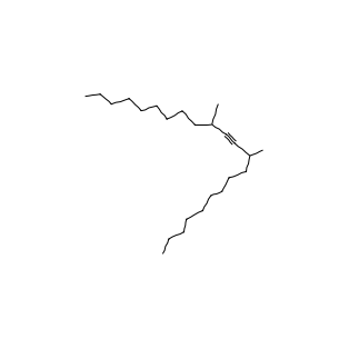 CCCCCCCCCC(C)C#CC(C)CCCCCCCCC